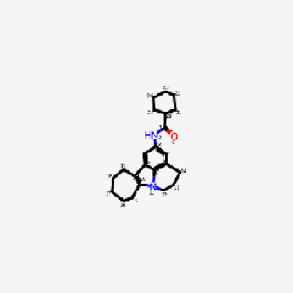 O=C(Nc1cc2c3c(c1)c1c(n3CCC2)CCCCC1)C1CCCCC1